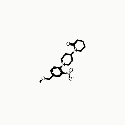 COCc1ccc(N2CCC(N3CCCCC3=O)CC2)c([N+](=O)[O-])c1